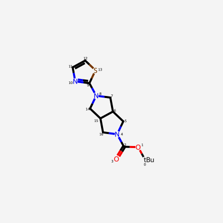 CC(C)(C)OC(=O)N1CC2CN(c3nccs3)CC2C1